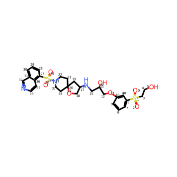 O=S(=O)(CCO)c1cccc(OCC(O)CNC2COC3(CCN(S(=O)(=O)c4cccc5cnccc45)CC3)C2)c1